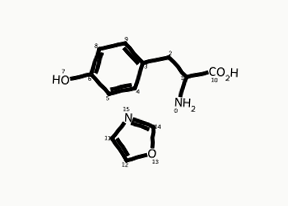 NC(Cc1ccc(O)cc1)C(=O)O.c1cocn1